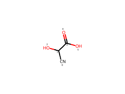 N#CC(O)C(=O)O